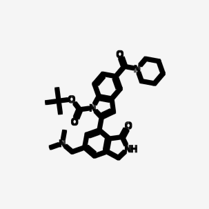 CN(C)Cc1cc2c(c(-c3cc4cc(C(=O)N5CCCCC5)ccc4n3C(=O)OC(C)(C)C)c1)C(=O)NC2